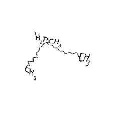 CCCCCCCCCCCCC(C)(P)CCCCCCCCCCCC